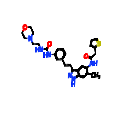 Cc1cc2[nH]nc(C=Cc3cccc(NC(=O)NCCN4CCOCC4)c3)c2cc1NC(=O)Cc1cccs1